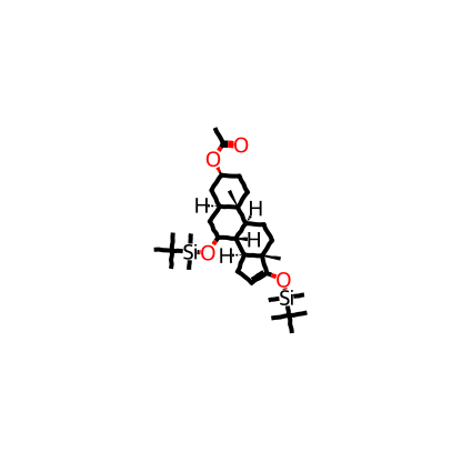 CC(=O)O[C@H]1CC[C@@]2(C)[C@@H](CC(O[Si](C)(C)C(C)(C)C)[C@@H]3[C@@H]2CC[C@]2(C)C(O[Si](C)(C)C(C)(C)C)=CC[C@@H]32)C1